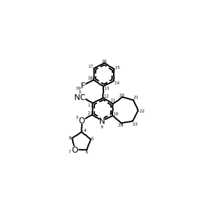 N#Cc1c(OC2CCOC2)nc2c(c1-c1ccccc1F)CCCCC2